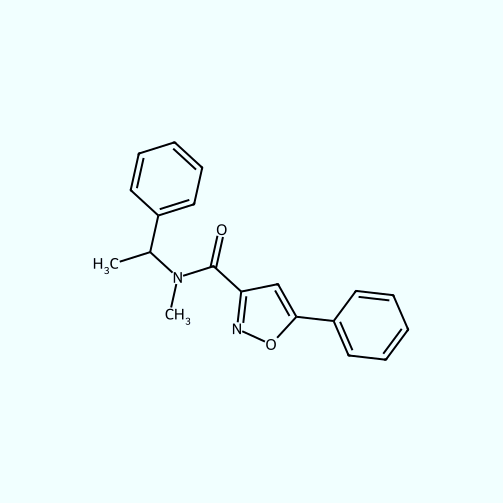 CC(c1ccccc1)N(C)C(=O)c1cc(-c2ccccc2)on1